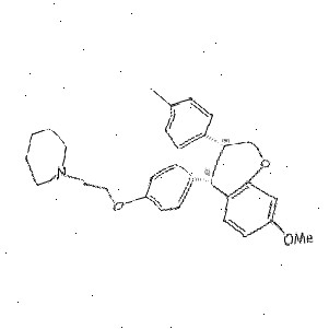 COc1ccc2c(c1)OC[C@@H](c1ccc(C)cc1)[C@H]2c1ccc(OCCN2CCCCC2)cc1